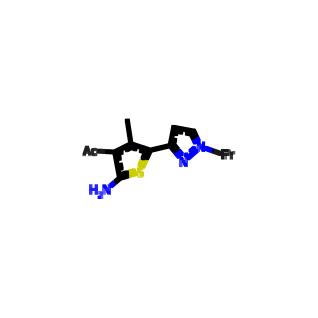 CC(=O)c1c(N)sc(-c2ccn(C(C)C)n2)c1C